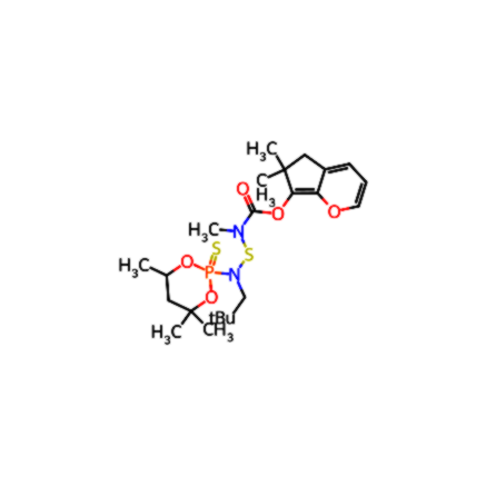 CC1CC(C)(C)OP(=S)(N(CC(C)(C)C)SN(C)C(=O)OC2=C3OC=CC=C3CC2(C)C)O1